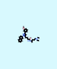 CCN(CC)CCCC(C)NC(=O)CCCc1cc(-c2cccc(OC)c2)nn1-c1ccc2ccccc2c1